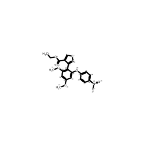 CCOC(=O)c1conc1-c1c(OC)cc(OC)cc1Oc1ccc([N+](=O)[O-])cc1